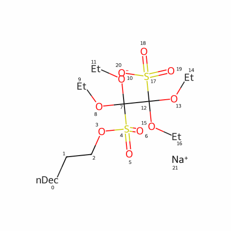 CCCCCCCCCCCCOS(=O)(=O)C(OCC)(OCC)C(OCC)(OCC)S(=O)(=O)[O-].[Na+]